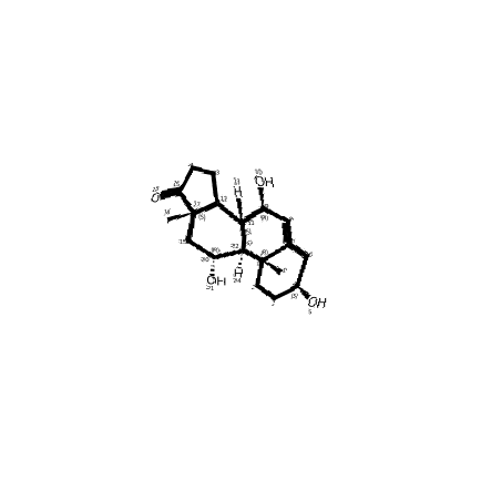 C[C@]12CC[C@H](O)CC1=C[C@H](O)[C@H]1C3CCC(=O)[C@@]3(C)C[C@@H](O)[C@@H]12